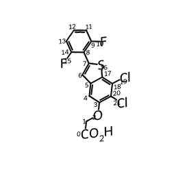 O=C(O)COc1cc2cc(-c3c(F)cccc3F)sc2c(Cl)c1Cl